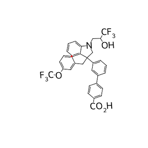 O=C(O)c1ccc(-c2cccc(C3(Cc4cccc(OC(F)(F)F)c4)CN(CC(O)C(F)(F)F)c4ccccc43)c2)cc1